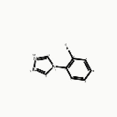 Fc1ccc[c]c1-n1cnnc1